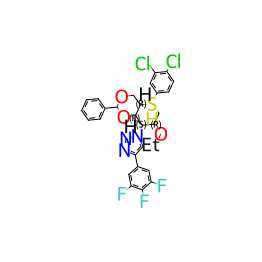 CCO[C@H]1C[SH](c2ccc(Cl)c(Cl)c2)[C@@H]2COC(c3ccccc3)O[C@@H]2[C@H]1n1cc(-c2cc(F)c(F)c(F)c2)nn1